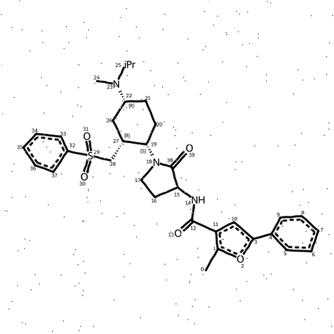 Cc1oc(-c2ccccc2)cc1C(=O)NC1CCN([C@H]2CC[C@@H](N(C)C(C)C)C[C@H]2CS(=O)(=O)c2ccccc2)C1=O